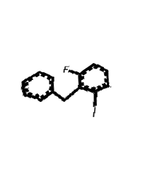 Fc1cc[c]c(I)c1Cc1ccccc1